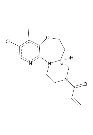 C=CC(=O)N1CCN2c3ncc(Cl)c(C)c3OCC[C@H]2C1